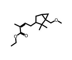 CCOC(=O)C(C)=CCC1CC2CC2(COC)C1(C)C